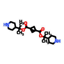 CC(C)(OC(=O)C12CC(C(=O)OC(C)(C)C3CCNCC3)(C1)C2)C1CCNCC1